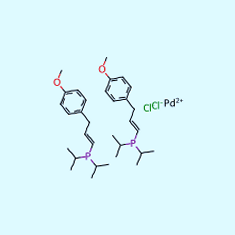 COc1ccc(CC=CP(C(C)C)C(C)C)cc1.COc1ccc(CC=CP(C(C)C)C(C)C)cc1.[Cl-].[Cl-].[Pd+2]